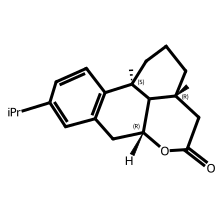 CC(C)c1ccc2c(c1)C[C@H]1OC(=O)C[C@@]3(C)CCC[C@@]2(C)C13